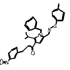 Cc1ccc(S/N=C/c2cc(C(=O)CCc3cccc(N=O)c3)c(C(C)C)n2Cc2ccccc2)cc1